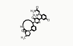 CN1CCN2c3cccc(c3)C(n3cnc(-c4cc(Cl)ccc4N(N)/C=C(\N)Cl)cc3=O)CCCCCNC(=O)[C@H]2C1